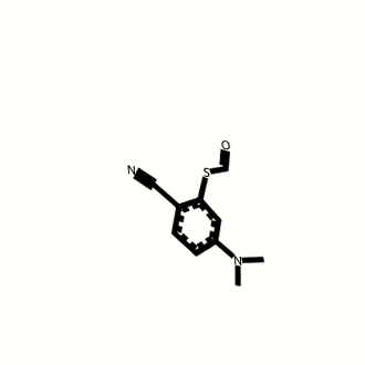 CN(C)c1ccc(C#N)c(SC=O)c1